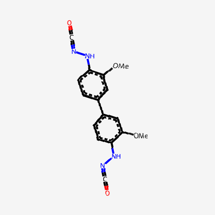 COc1cc(-c2ccc(NN=C=O)c(OC)c2)ccc1NN=C=O